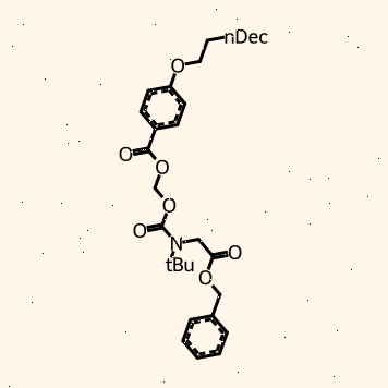 CCCCCCCCCCCCOc1ccc(C(=O)OCOC(=O)N(CC(=O)OCc2ccccc2)C(C)(C)C)cc1